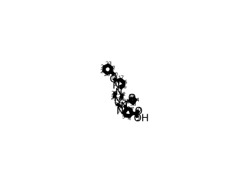 O=C(O)c1ccc2nc(CN3CCN(c4cccc(OCC5CCCCC5)n4)CC3)n(C[C@@H]3CCO3)c2c1